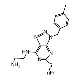 CCCSc1nc(NCCN)c2nnn(Cc3ccc(C)cc3)c2n1